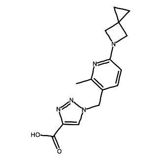 Cc1nc(N2CC3(CC3)C2)ccc1Cn1cc(C(=O)O)nn1